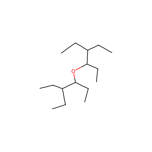 CCC(CC)C(CC)OC(CC)C(CC)CC